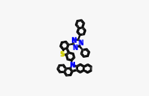 c1ccc(-c2nc(-c3ccc4ccccc4c3)nc(-c3cccc4sc5cc(-n6c7cc8ccccc8cc7c7ccc8ccccc8c76)ccc5c34)n2)cc1